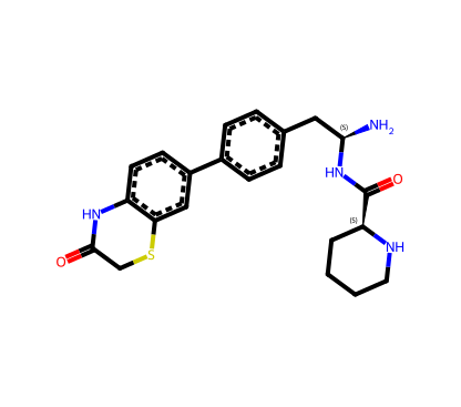 N[C@H](Cc1ccc(-c2ccc3c(c2)SCC(=O)N3)cc1)NC(=O)[C@@H]1CCCCN1